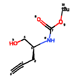 C#CC[C@@H](CO)NC(=O)OC(C)(C)C